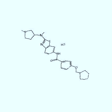 CN1CCC(N(C)c2nc3ccc(NC(=O)c4ccc(OCC5CCCCC5)cc4)cc3s2)C1.Cl